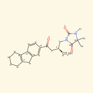 CN1C(=O)N(C[C@H](CC(=O)c2ccc3c(c2)CC2=C3CCCC2)C(=O)O)C(=O)C1(C)C